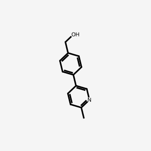 Cc1ccc(-c2ccc(CO)cc2)cn1